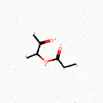 [CH2]CC(=O)OC(C)C(C)=O